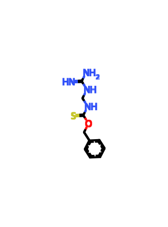 N=C(N)NCNC(=S)OCc1ccccc1